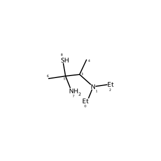 CCN(CC)C(C)C(C)(N)S